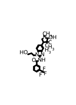 CN1CC(c2ccc3c(c2)nc(NC(=O)c2cccc(C(F)(F)F)c2)n3CCCO)C(C)(C)C1O